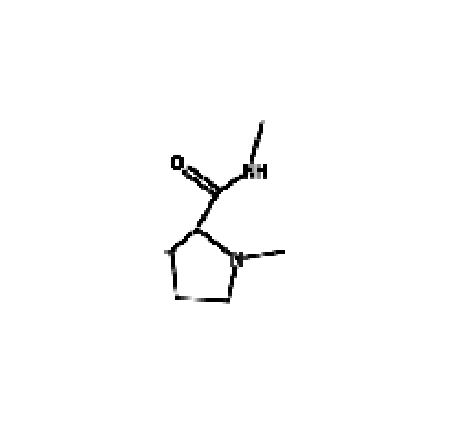 CNC(=O)C1[CH]CCN1C